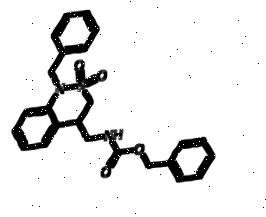 O=C(NCC1CS(=O)(=O)N(Cc2ccccc2)c2ccccc21)OCc1ccccc1